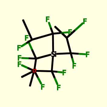 CC(F)C(F)(F)[Si](C(F)(F)C(C)F)(C(F)(F)C(C)F)C(F)(F)C(C)F